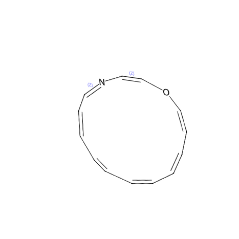 C1=CC=CC=CO/C=C\N=C/C=CC=C1